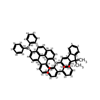 CC1(C)c2ccccc2-c2cc(N(c3ccccc3-c3ccccc3)c3ccc4ccc5c(B(c6ccccc6)c6ccccc6)ccc6c7ccccc7c3c4c56)ccc21